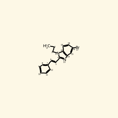 CCCn1c(/C=C/c2ccccc2)nc2cc(Br)ccc21